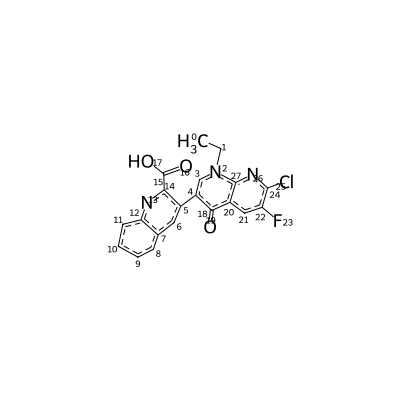 CCn1cc(-c2cc3ccccc3nc2C(=O)O)c(=O)c2cc(F)c(Cl)nc21